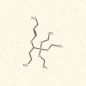 CCC=COC(CCC)[Si](OCC)(OCC)OCC